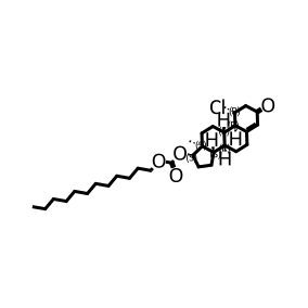 CCCCCCCCCCCCOC(=O)O[C@H]1CC[C@H]2[C@@H]3CCC4=CC(=O)C[C@@H](Cl)[C@@H]4[C@H]3CC[C@]12C